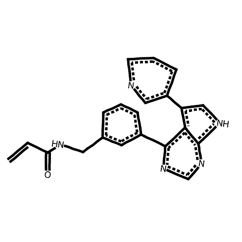 C=CC(=O)NCc1cccc(-c2ncnc3[nH]cc(-c4cccnc4)c23)c1